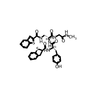 CNC(=O)CNC(=O)[C@@H](CNC(=O)c1cc2ccccc2s1)NC(=O)[C@H](Cc1ccc(O)cc1)NC(=O)C1Cc2ccccc2S1